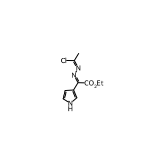 CCOC(=O)C(=NN=C(C)Cl)c1cc[nH]c1